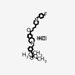 CCOC(=O)C(C)(C)c1cccc(CN2CCc3ccc(C(=O)CCCC4CCN(Cc5ccc(F)cc5)CC4)cc3CC2)c1.Cl.Cl